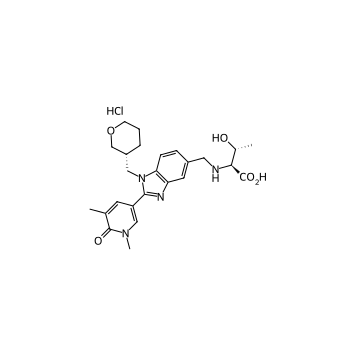 Cc1cc(-c2nc3cc(CN[C@H](C(=O)O)[C@@H](C)O)ccc3n2C[C@H]2CCCOC2)cn(C)c1=O.Cl